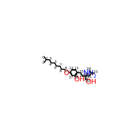 CC(C)CCCCCCCOc1ccc(CCC(N)(CO)CC(C)C)c(O)c1